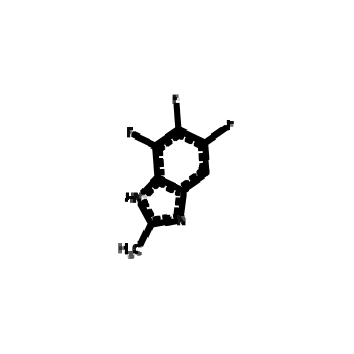 Cc1nc2cc(F)c(F)c(F)c2[nH]1